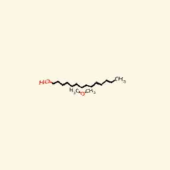 CCCCCCCCCCCCCCO.COC